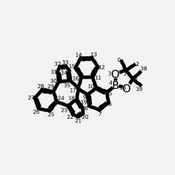 CC1(C)OB(c2cccc3c2-c2ccccc2C32c3ccccc3-c3ccccc3-c3ccccc32)OC1(C)C